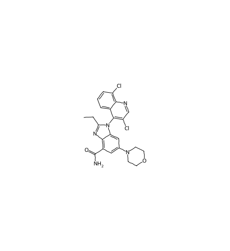 CCc1nc2c(C(N)=O)cc(N3CCOCC3)cc2n1-c1c(Cl)cnc2c(Cl)cccc12